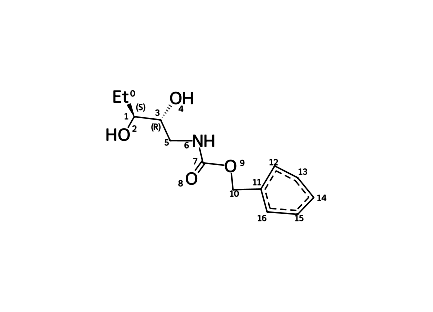 CC[C@H](O)[C@H](O)CNC(=O)OCc1ccccc1